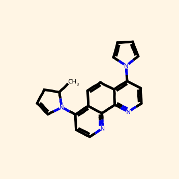 CC1CC=CN1c1ccnc2c1ccc1c(-n3cccc3)ccnc12